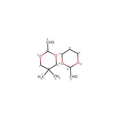 CC1(C)COC(C=O)OC1.O=CC1OCCCO1